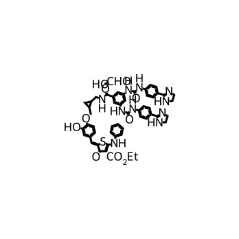 CCOC(=O)C1=C(Nc2ccccc2)S/C(=C\c2ccc(OCC3CC3CNC(=O)c3cc(NC(=O)Nc4ccc(C5=NCCN5)cc4)cc(NC(=O)Nc4ccc(C5=NCCN5)cc4)c3)c(O)c2)C1=O.O=CO